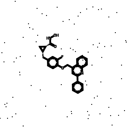 O=C(NO)[C@H]1C[C@H]1Cc1ccc(OCc2cc(-c3ccccc3)nc3ccccc23)c(F)c1